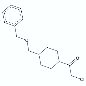 O=C(CCl)C1CCC(COCc2ccccc2)CC1